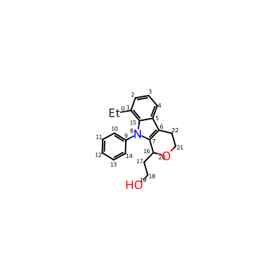 CCc1cccc2c3c(n(-c4ccccc4)c12)C(CCO)OCC3